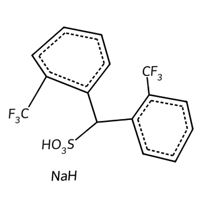 O=S(=O)(O)C(c1ccccc1C(F)(F)F)c1ccccc1C(F)(F)F.[NaH]